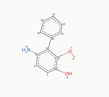 COc1c(O)ccc(N)c1-c1ccccc1